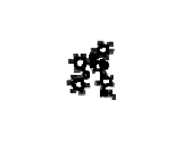 NC1CCN(C(=O)CN(c2ccccc2Oc2ccccc2)S(=O)(=O)c2ccccc2)C1